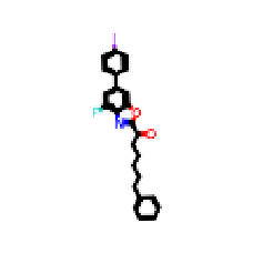 O=C(CCCCCc1ccccc1)c1nc2c(F)cc(-c3ccc(I)cc3)cc2o1